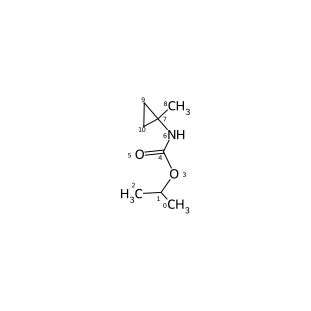 CC(C)OC(=O)NC1(C)CC1